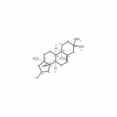 C[C@]12CC[C@@H]3[C@@H](CC=C4CC(N)(O)CC[C@@]43C)[C@@H]1CC(F)C2